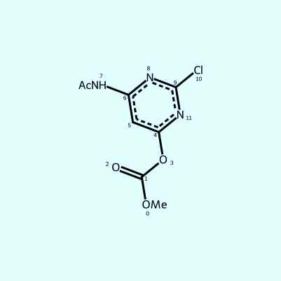 COC(=O)Oc1cc(NC(C)=O)nc(Cl)n1